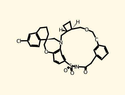 O=C1Cc2cccc(c2)CCOC[C@@H]2CC[C@H]2CN2C[C@@]3(CCCc4cc(Cl)ccc43)COc3ccc(cc32)S(=O)(=O)N1